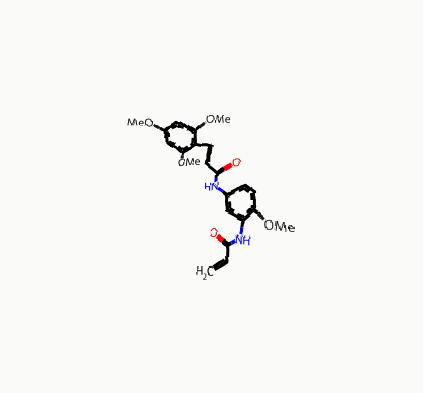 C=CC(=O)Nc1cc(NC(=O)C=Cc2c(OC)cc(OC)cc2OC)ccc1OC